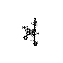 C=CCOC(=O)NCCCC[C@H](NC(=O)CCCNc1ccccn1)C(=O)NC(CC(=O)O)c1ccc(-c2ccccc2)cc1